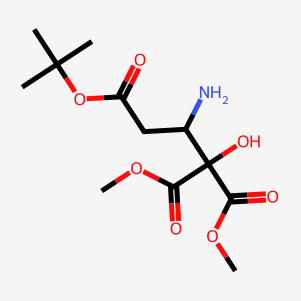 COC(=O)C(O)(C(=O)OC)C(N)CC(=O)OC(C)(C)C